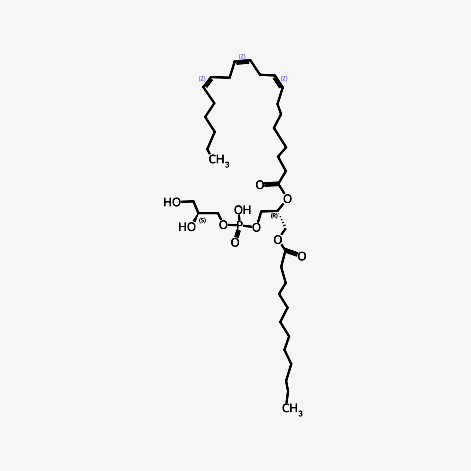 CCCCC/C=C\C/C=C\C/C=C\CCCCCCC(=O)O[C@H](COC(=O)CCCCCCCCCCC)COP(=O)(O)OC[C@@H](O)CO